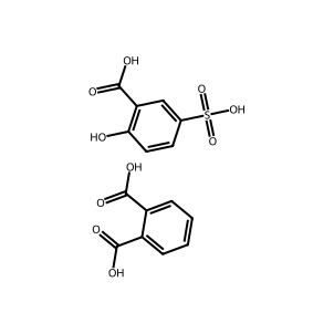 O=C(O)c1cc(S(=O)(=O)O)ccc1O.O=C(O)c1ccccc1C(=O)O